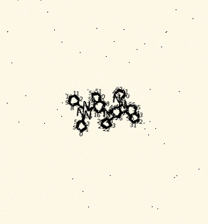 c1ccc(-c2nc(-c3ccccc3)nc(-c3cc(-n4c5ccccc5c5cc6c7c8ccccc8ccc7n(-c7ccccn7)c6cc54)cc4ccccc34)n2)cc1